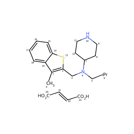 Cc1c(CN(CC(C)C)C2CCNCC2)sc2ccccc12.O=C(O)C=CC(=O)O